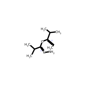 C/C=C(\O/C(=N\N)C(C)C)C(C)C